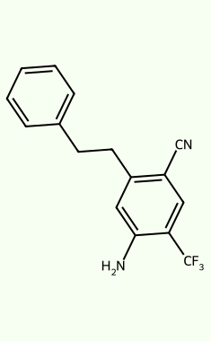 N#Cc1cc(C(F)(F)F)c(N)cc1CCc1ccccc1